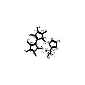 CC1=C(C)C(C)C(C2=C(C)C(C)=C(C)C2C)=C1C.[CH3][Zr]([Cl])([Cl])[C]1=CC=CC1